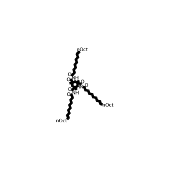 CCCCCCCCC=CCCCCCCCC(=O)NC(=O)C1(C)CC(C)(C(=O)NC(=O)CCCCCCCC=CCCCCCCCC)CC(C)(C(=O)NC(=O)CCCCCCCC=CCCCCCCCC)C1